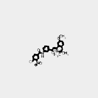 COc1ccc2c(c1)C(=CC(=O)c1cccc(NC(=O)c3ccc(Cl)c([N+](=O)[O-])c3)c1)NC(C)(C)C2